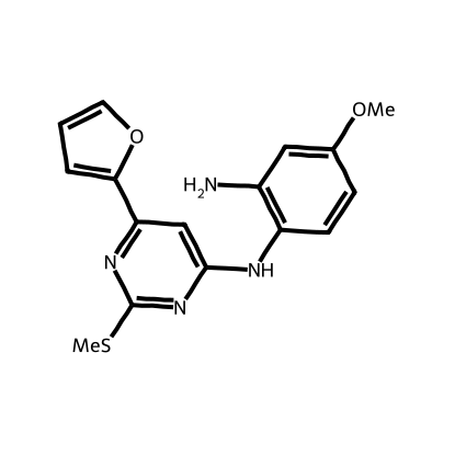 COc1ccc(Nc2cc(-c3ccco3)nc(SC)n2)c(N)c1